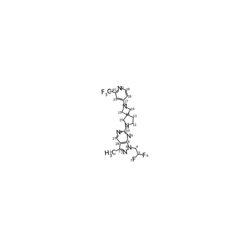 Cc1nn(CC(F)F)c2nc(N3CCC4(CN(c5ccnc(C(F)(F)F)c5)C4)C3)ncc12